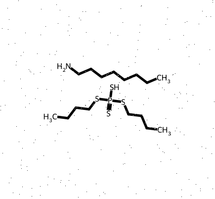 CCCCCCCCN.CCCCSP(=S)(S)SCCCC